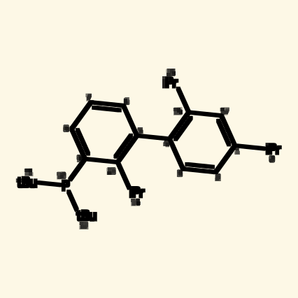 CC(C)c1ccc(-c2cccc(P(C(C)(C)C)C(C)(C)C)c2C(C)C)c(C(C)C)c1